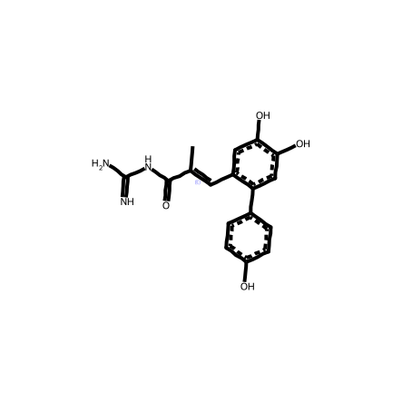 C/C(=C\c1cc(O)c(O)cc1-c1ccc(O)cc1)C(=O)NC(=N)N